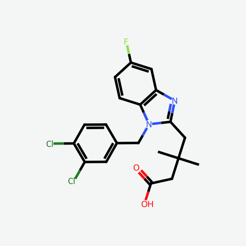 CC(C)(CC(=O)O)Cc1nc2cc(F)ccc2n1Cc1ccc(Cl)c(Cl)c1